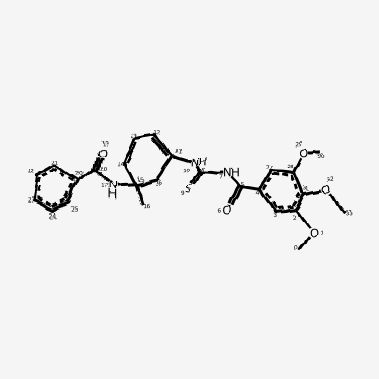 COc1cc(C(=O)NC(=S)NC2=CC=CC(C)(NC(=O)c3ccccc3)C2)cc(OC)c1OC